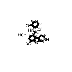 COc1ccc(C(=O)Nc2c(Cl)cncc2Cl)c2c3c(oc12)CNCC3.Cl